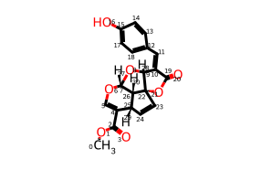 COC(=O)C1=CO[C@@H]2O[C@H]3/C(=C\c4ccc(O)cc4)C(=O)O[C@]34C=C[C@H]1[C@H]24